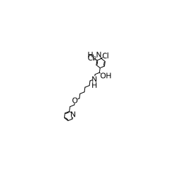 NC1(Cl)C=CC(C(O)CNCCCCCCOCCc2ccccn2)C=C1Cl